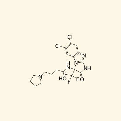 O=C1Nc2nc3cc(Cl)c(Cl)cc3n2C1(NC(O)CCCN1CCCC1)C(F)(F)F